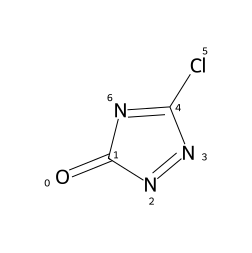 O=C1N=NC(Cl)=N1